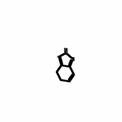 [c]1[nH]nc2c1CCC=C2